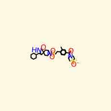 Cc1cc(C(=O)N2CC[S+]([O-])CC2)ccc1CCS(=O)(=O)N1CCC2(C=C(C3CCCCC3)NC2=O)CC1